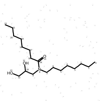 CCCCCCCCN(CC(O)CO)C(=O)CCCCCCC